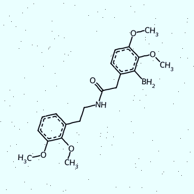 Bc1c(CC(=O)NCCc2cccc(OC)c2OC)ccc(OC)c1OC